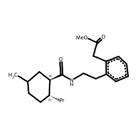 COC(=O)Cc1ccccc1CCNC(=O)[C@@H]1CC(C)CC[C@H]1C(C)C